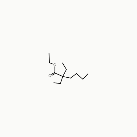 CCCCC(CC)(CC)C(=O)OCC